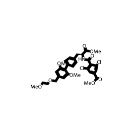 COCCOCc1cc(OC)c(-c2ccc(C[C@H](NC(=O)c3c(Cl)cc(C(=O)OC)cc3Cl)C(=O)OC)cc2)c(OC)c1